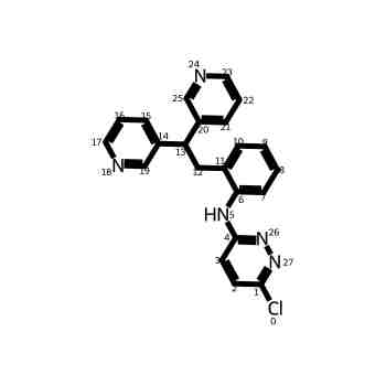 Clc1ccc(Nc2ccccc2CC(c2cccnc2)c2cccnc2)nn1